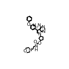 Nc1ncnc2c1c(-c1ccc(Oc3ccccc3)cc1)cn2C1CCC(OC(=O)NCCN2CCOCC2)C1